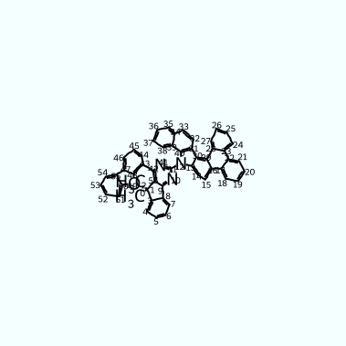 CC1(C)c2ccccc2-c2nc(-n3c4ccc5c6ccccc6c6ccccc6c5c4c4ccc5ccccc5c43)nc(-c3cccc4c3oc3ccccc34)c21